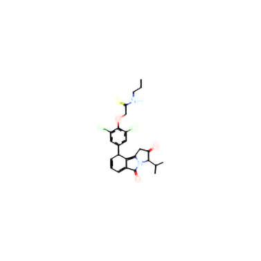 CCCNC(=S)COc1c(Cl)cc(C2C=CC=C3C(=O)N4C(=C32)CC(=O)C4C(C)C)cc1Cl